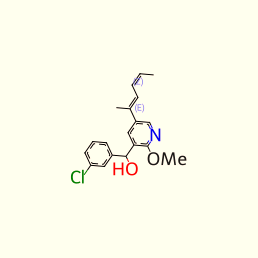 C/C=C\C=C(/C)c1cnc(OC)c(C(O)c2cccc(Cl)c2)c1